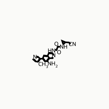 Cc1ccncc1-c1cc(N)c2cnc(NC(=O)C(=O)NC3CC3CC#N)cc2c1